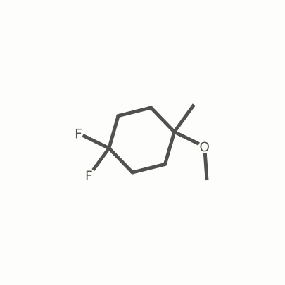 COC1(C)CCC(F)(F)CC1